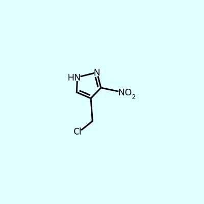 O=[N+]([O-])c1n[nH]cc1CCl